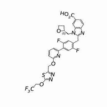 O=C(O)c1ccc2nc(Cc3cc(F)c(-c4cccc(OCc5nnc(OCC(F)(F)F)s5)n4)cc3F)n(C[C@@H]3CCO3)c2c1